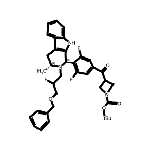 C[C@@H]1Cc2c([nH]c3ccccc23)[C@@H](c2c(F)cc(C(=O)C3CN(C(=O)OC(C)(C)C)C3)cc2F)N1CC(F)COCc1ccccc1